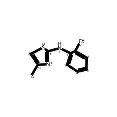 CCc1ccccc1Nc1nc(C)cs1